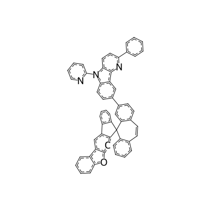 C1=Cc2ccc(-c3ccc4c(c3)c3nc(-c5ccccc5)ccc3n4-c3ccccn3)cc2C2(c3ccccc31)c1ccccc1-c1cc3c(cc12)oc1ccccc13